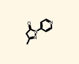 CC1=NN(c2ccncc2)C(=O)C1